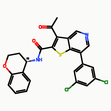 CC(=O)c1c(C(=O)N[C@H]2CCOc3ccccc32)sc2c(-c3cc(Cl)cc(Cl)c3)cncc12